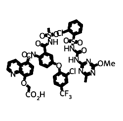 COc1nc(C)nc(NC(=O)NS(=O)(=O)c2ccccc2Cl)n1.CS(=O)(=O)NC(=O)c1cc(Oc2ccc(C(F)(F)F)cc2Cl)ccc1[N+](=O)[O-].O=C(O)COc1ccc(Cl)c2cccnc12